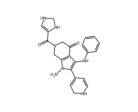 Nn1c2c(c(Nc3ccccc3)c1C1=CCNC=C1)C(=O)CN(C(=O)C1=CNCN1)C2